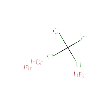 Br.Br.Br.ClC(Cl)(Cl)Cl